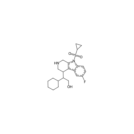 O=S(=O)(C1CC1)n1c2c(c3cc(F)ccc31)C(C(CO)C1CCCCC1)CNC2